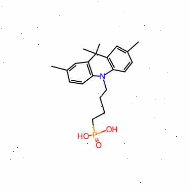 Cc1ccc2c(c1)C(C)(C)c1cc(C)ccc1N2CCCCP(=O)(O)O